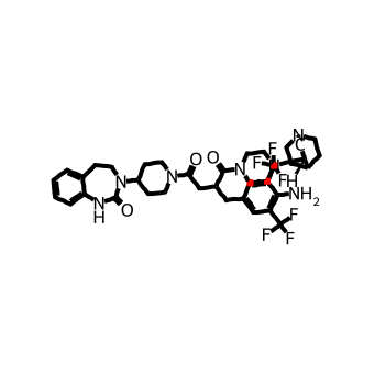 Nc1c(C(F)(F)F)cc(CC(CC(=O)N2CCC(N3CCc4ccccc4NC3=O)CC2)C(=O)N2CCN([C@@H]3CN4CCC3CC4)CC2)cc1C(F)(F)F